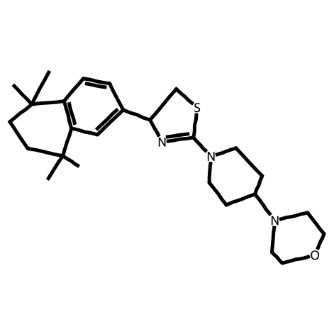 CC1(C)CCC(C)(C)c2cc(C3CSC(N4CCC(N5CCOCC5)CC4)=N3)ccc21